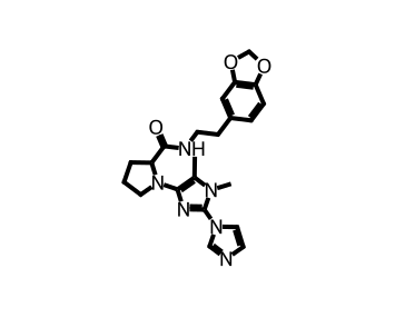 Cc1c(N2CCCC2C(=O)NCCc2ccc3c(c2)OCO3)nc(-n2ccnc2)n1C